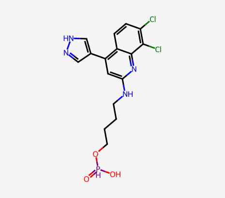 O=[PH](O)OCCCCNc1cc(-c2cn[nH]c2)c2ccc(Cl)c(Cl)c2n1